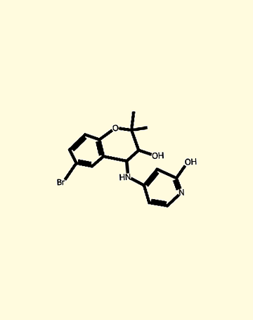 CC1(C)Oc2ccc(Br)cc2C(Nc2ccnc(O)c2)C1O